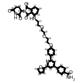 NC(=O)c1ccc(-c2cc(-c3ccc(OCCOCCOCCNc4cccc5c4C(=O)N(C4CCC(=O)NC4=O)C5=O)cc3)nc(-c3ccco3)c2)cc1